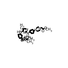 COC(=O)CN1CCN(c2ccc(Nc3ncc(C)c(Nc4cccc(S(=O)(=O)NC(C)(C)C)c4)n3)cc2)CC1